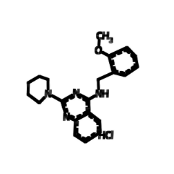 COc1ccccc1CNc1nc(N2CCCCC2)nc2ccccc12.Cl